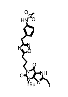 CCCCn1c(=O)n(CCCc2nc(Cc3cccc(NS(C)(=O)=O)c3)no2)c(=O)c2[nH]c(CI)nc21